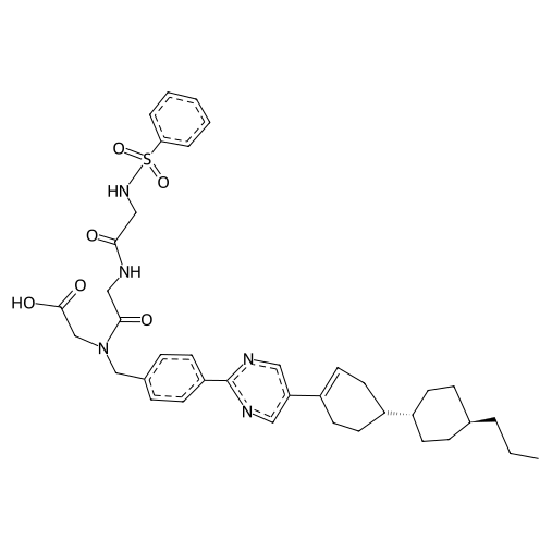 CCC[C@H]1CC[C@H](C2CC=C(c3cnc(-c4ccc(CN(CC(=O)O)C(=O)CNC(=O)CNS(=O)(=O)c5ccccc5)cc4)nc3)CC2)CC1